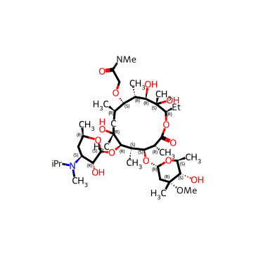 CC[C@H]1OC(=O)[C@H](C)[C@@H](O[C@H]2C[C@@](C)(OC)[C@@H](O)[C@H](C)O2)[C@H](C)[C@@H](O[C@@H]2O[C@H](C)C[C@H](N(C)C(C)C)[C@H]2O)[C@](C)(O)C[C@@H](C)[C@H](OCC(=O)NC)[C@H](C)[C@@H](O)[C@]1(C)O